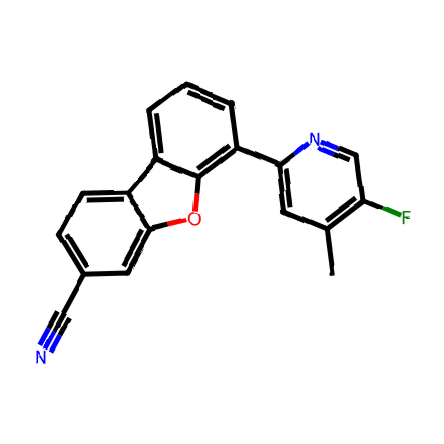 Cc1cc(-c2cccc3c2oc2cc(C#N)ccc23)ncc1F